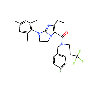 CCc1nc2n(c1C(=O)N(CCC(F)(F)F)Cc1ccc(Cl)cc1)CCN2c1c(C)cc(C)cc1C